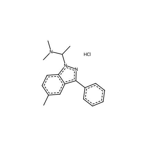 Cc1ccc2c(c1)c(-c1ccccc1)nn2C(C)N(C)C.Cl